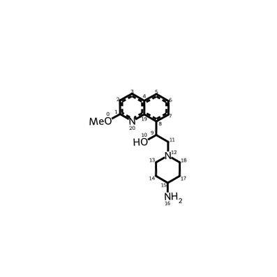 COc1ccc2cccc(C(O)CN3CCC(N)CC3)c2n1